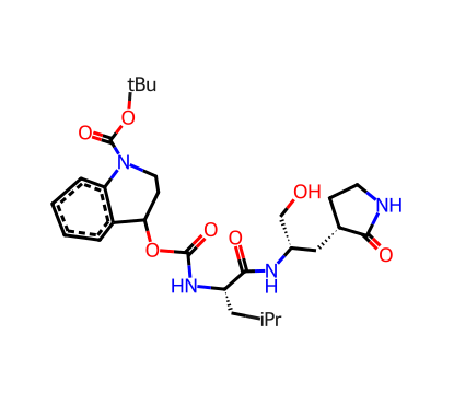 CC(C)C[C@H](NC(=O)OC1CCN(C(=O)OC(C)(C)C)c2ccccc21)C(=O)N[C@H](CO)C[C@@H]1CCNC1=O